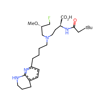 CO[C@H](CF)CN(CCCCc1ccc2c(n1)NCCC2)CC[C@H](NC(=O)CC(C)(C)C)C(=O)O